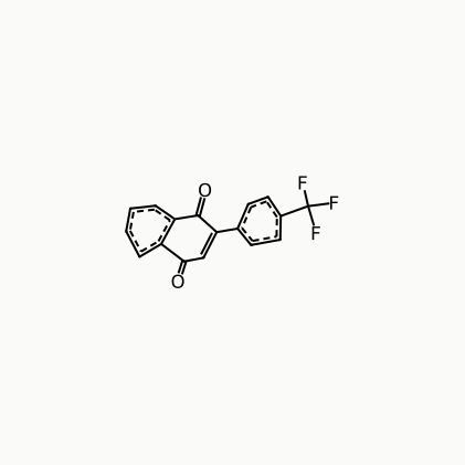 O=C1C=C(c2ccc(C(F)(F)F)cc2)C(=O)c2ccccc21